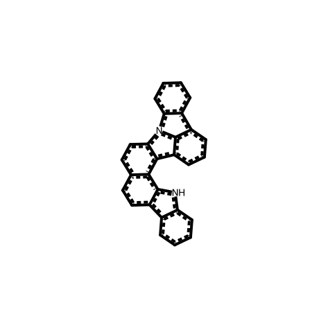 c1ccc2c(c1)[nH]c1c2ccc2ccc3c(c4cccc5c6ccccc6n3c54)c21